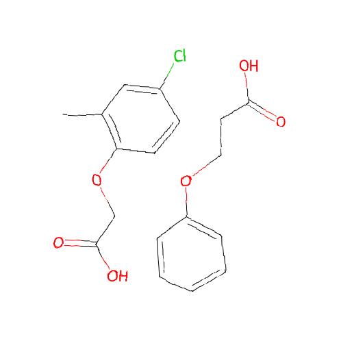 Cc1cc(Cl)ccc1OCC(=O)O.O=C(O)CCOc1ccccc1